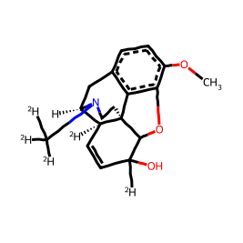 [2H]C1(O)C=C[C@@]2([2H])[C@H]3Cc4ccc(OC)c5c4[C@@]2(CCN3C([2H])([2H])[2H])C1O5